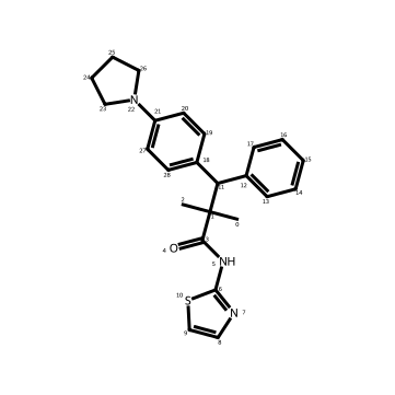 CC(C)(C(=O)Nc1nccs1)C(c1ccccc1)c1ccc(N2CCCC2)cc1